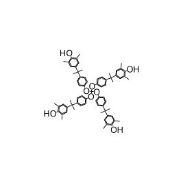 Cc1cc(C(C)(C)c2ccc(OC(Oc3ccc(C(C)(C)c4cc(C)c(O)c(C)c4)cc3)(Oc3ccc(C(C)(C)c4cc(C)c(O)c(C)c4)cc3)Oc3ccc(C(C)(C)c4cc(C)c(O)c(C)c4)cc3)cc2)cc(C)c1O